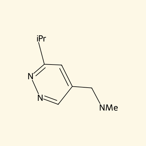 CNCc1cnnc(C(C)C)c1